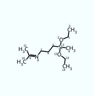 CCO[Si](C)(CCCN=C(C)C)OCC